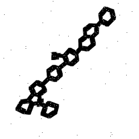 Brc1cc(-c2ccc3cc(-c4ccccc4)ccc3c2)ccc1-c1ccc(-c2ccc3c4ccccc4n(-c4ccccc4)c3c2)cc1